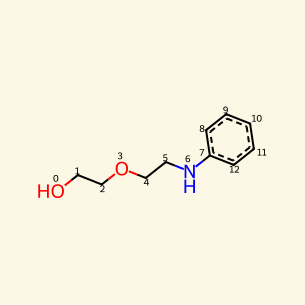 OCCOCCNc1ccccc1